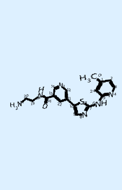 Cc1ccnc(Nc2ncc(-c3cncc(C(=O)NCCN)c3)s2)c1